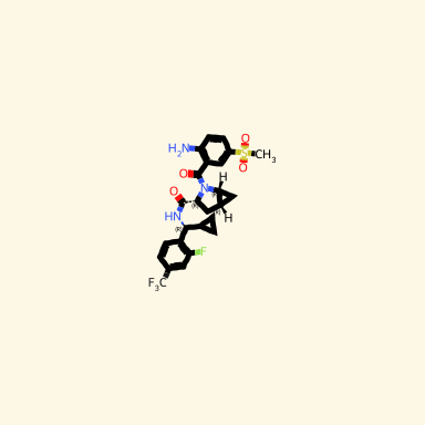 CS(=O)(=O)c1ccc(N)c(C(=O)N2[C@@H](C(=O)N[C@@H](c3ccc(C(F)(F)F)cc3F)C3CC3)C[C@H]3C[C@H]32)c1